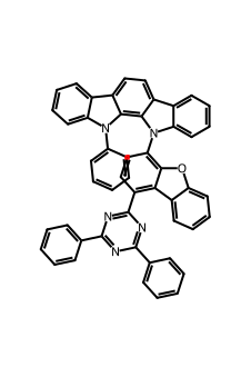 c1ccc(-c2nc(-c3ccccc3)nc(-c3ccc(-n4c5ccccc5c5ccc6c7ccccc7n(-c7ccccc7)c6c54)c4oc5ccccc5c34)n2)cc1